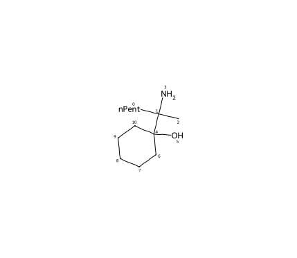 CCCCCC(C)(N)C1(O)CCCCC1